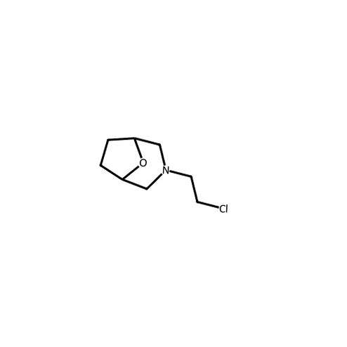 ClCCN1CC2CCC(C1)O2